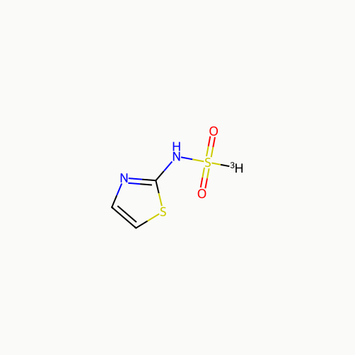 [3H]S(=O)(=O)Nc1nccs1